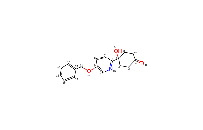 O=C1CCC(O)(c2ccc(OCc3ccccc3)cn2)CC1